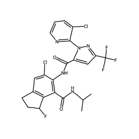 CC(C)NC(=O)c1c(NC(=O)c2cc(C(F)(F)F)nn2-c2ncccc2Cl)c(Cl)cc2c1C(F)CC2